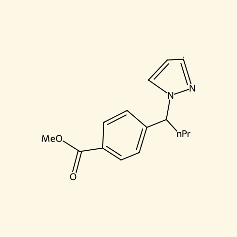 CCCC(c1ccc(C(=O)OC)cc1)n1cc[c]n1